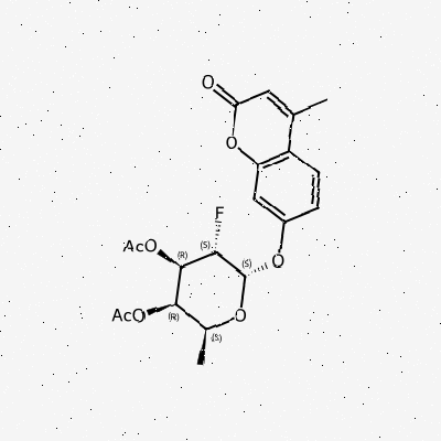 CC(=O)O[C@H]1[C@H](F)[C@H](Oc2ccc3c(C)cc(=O)oc3c2)O[C@@H](C)[C@H]1OC(C)=O